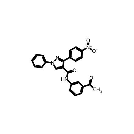 CC(=O)c1cccc(NC(=O)c2cn(-c3ccccc3)nc2-c2ccc([N+](=O)[O-])cc2)c1